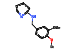 CCOc1ccc(CNc2ccccn2)cc1OC